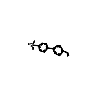 C=Cc1ccc(-c2ccc([Si](C)(C)C)cc2)cc1